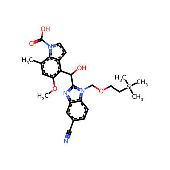 COc1cc(C)c2c(ccn2C(=O)O)c1C(O)c1nc2cc(C#N)ccc2n1COCC[Si](C)(C)C